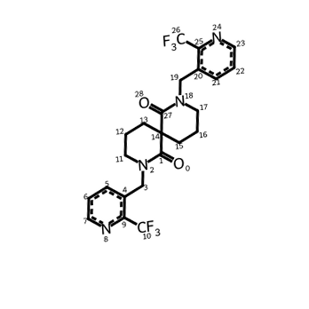 O=C1N(Cc2cccnc2C(F)(F)F)CCCC12CCCN(Cc1cccnc1C(F)(F)F)C2=O